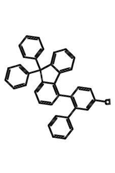 Clc1ccc(-c2cccc3c2-c2ccccc2C3(c2ccccc2)c2ccccc2)c(-c2ccccc2)c1